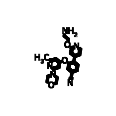 Cc1cc(Oc2cc(C#N)ccc2-c2ccnc(OCCN)c2)cc(N2CCOCC2)n1